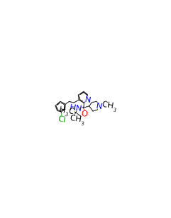 CN1CCC(C2(c3ncccc3CCc3cccc(Cl)c3)NC(C)(C)CO2)CC1